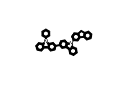 c1ccc(-n2c3ccccc3c3ccc(-c4ccc5c(c4)c4ccccc4n5-c4ccc5c(c4)-c4ccccc4C5)cc32)cc1